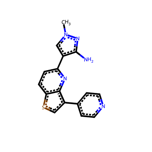 Cn1cc(-c2ccc3scc(-c4ccncc4)c3n2)c(N)n1